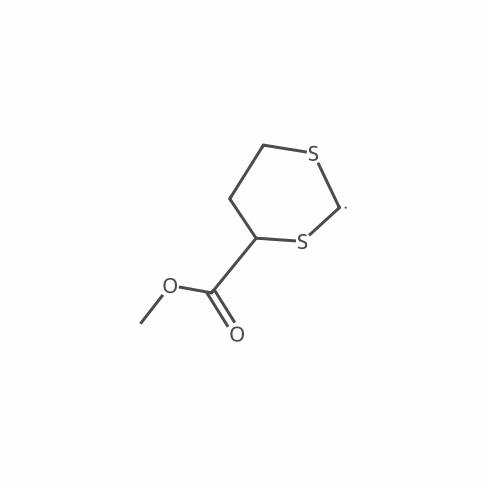 COC(=O)C1CCS[CH]S1